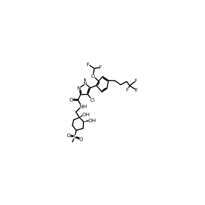 Cn1nc(C(=O)NC[C@@]2(O)CCC(S(C)(=O)=O)C[C@@H]2O)c(Cl)c1-c1ccc(CCCC(F)(F)F)cc1OC(F)F